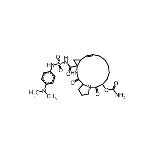 CN(C)c1ccc(NS(=O)(=O)NC(=O)C23CC2/C=C\CCCCCC(OC(N)=O)C(=O)N2CCCC2C(=O)N3)cc1